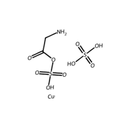 NCC(=O)OS(=O)(=O)O.O=S(=O)(O)O.[Cu]